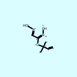 C=CC(C)(C)OC(C=NO)=NO